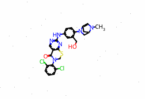 CN1C=C2CC1CN2c1ccc(Nc2ncc3c(n2)SCN(c2c(Cl)cccc2Cl)C3=O)cc1CO